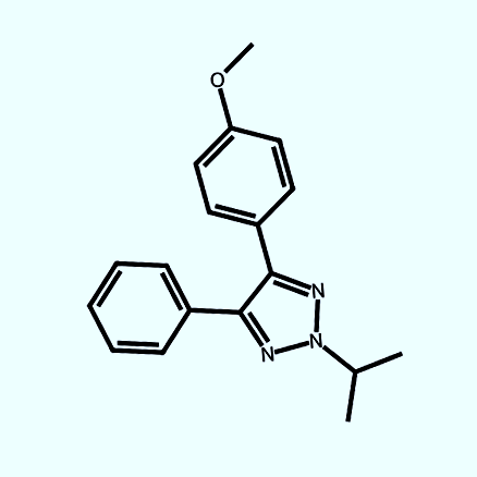 COc1ccc(-c2nn(C(C)C)nc2-c2ccccc2)cc1